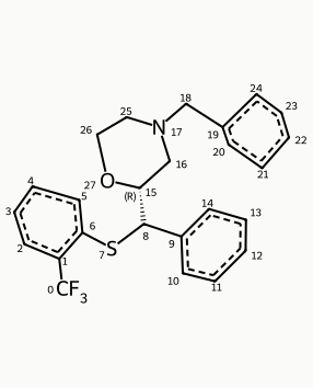 FC(F)(F)c1ccccc1SC(c1ccccc1)[C@H]1CN(Cc2ccccc2)CCO1